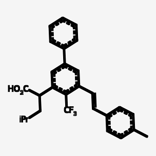 Cc1ccc(C=Cc2cc(-c3ccccc3)cc(C(CC(C)C)C(=O)O)c2C(F)(F)F)cc1